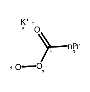 CCCC(=O)O[O-].[K+]